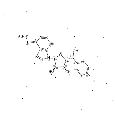 CC(=O)NN=c1nc[nH]c2c1cnn2[C@@H]1O[C@H](C(O)c2ccc(Cl)cc2)[C@@H](O)[C@H]1O